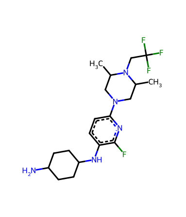 CC1CN(c2ccc(NC3CCC(N)CC3)c(F)n2)CC(C)N1CC(F)(F)F